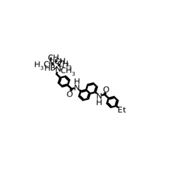 CCc1ccc(C(=O)Nc2cccc3c(NC(=O)c4ccc(C[N+](C)(C)B[N+](C)(C)C)cc4)cccc23)cc1